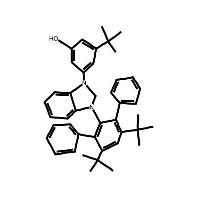 CC(C)(C)c1cc(O)cc(N2CN(c3c(-c4ccccc4)c(C(C)(C)C)cc(C(C)(C)C)c3-c3ccccc3)c3ccccc32)c1